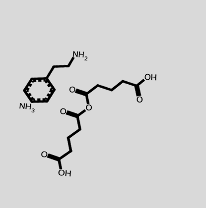 N.NCCc1ccccc1.O=C(O)CCCC(=O)OC(=O)CCCC(=O)O